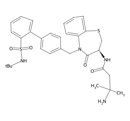 CC(C)(N)CC(=O)N[C@@H]1CSc2ccccc2N(Cc2ccc(-c3ccccc3S(=O)(=O)NC(C)(C)C)cc2)C1=O